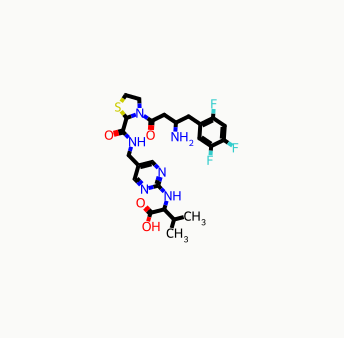 CC(C)C(Nc1ncc(CNC(=O)C2SCCN2C(=O)CC(N)Cc2cc(F)c(F)cc2F)cn1)C(=O)O